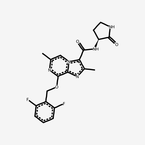 Cc1cn2c(C(=O)N[C@H]3CCNC3=O)c(C)nc2c(OCc2c(F)cccc2F)n1